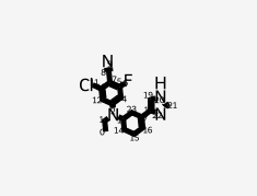 CCN(c1cc(F)c(C#N)c(Cl)c1)C1CCC=C(c2c[nH]cn2)C1